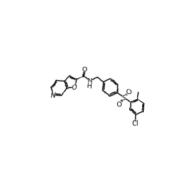 Cc1ccc(Cl)cc1S(=O)(=O)c1ccc(CNC(=O)c2cc3ccncc3o2)cc1